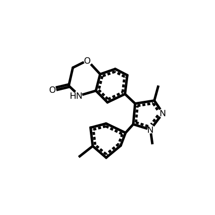 Cc1ccc(-c2c(-c3ccc4c(c3)NC(=O)CO4)c(C)nn2C)cc1